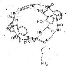 NCCCCC1CN2CCNC(=O)c3cccc(c3O)C(=O)NCc3cc(c4cc3CNC(=O)c3cccc(c3O)C(=O)NCCN1CCNC(=O)c1cccc(c1O)C(=O)NC4)CNC(=O)c1cccc(c1O)C(=O)NCC2